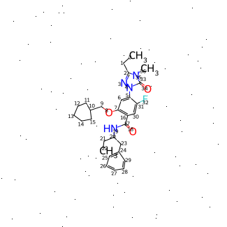 CCc1nn(-c2cc(OCC3CCCCC3)c(C(=O)NC(CC)Cc3ccccc3)cc2F)c(=O)n1C